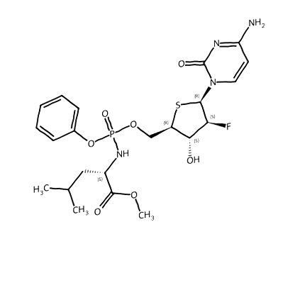 COC(=O)[C@H](CC(C)C)NP(=O)(OC[C@H]1S[C@@H](n2ccc(N)nc2=O)[C@@H](F)[C@@H]1O)Oc1ccccc1